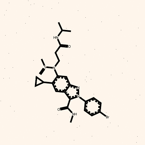 C=S(C)N(CCC(=O)NC(C)C)c1cc2nn(-c3ccc(Br)cc3)c(C(=O)NC)c2cc1C1CC1